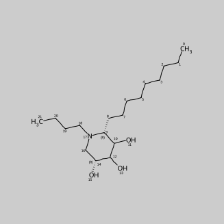 CCCCCCCCC[C@@H]1C(O)C(O)[C@H](O)CN1CCCC